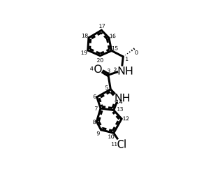 C[C@H](NC(=O)c1cc2ccc(Cl)cc2[nH]1)c1ccccc1